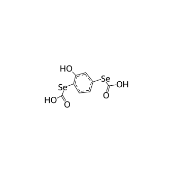 O=C(O)[Se]c1ccc([Se]C(=O)O)c(O)c1